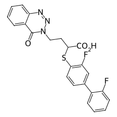 O=C(O)C(CCn1nnc2ccccc2c1=O)Sc1ccc(-c2ccccc2F)cc1F